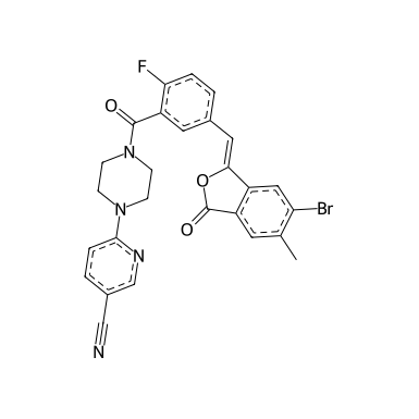 Cc1cc2c(cc1Br)/C(=C/c1ccc(F)c(C(=O)N3CCN(c4ccc(C#N)cn4)CC3)c1)OC2=O